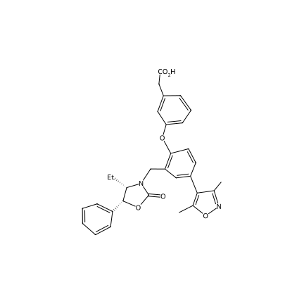 CC[C@H]1[C@@H](c2ccccc2)OC(=O)N1Cc1cc(-c2c(C)noc2C)ccc1Oc1cccc(CC(=O)O)c1